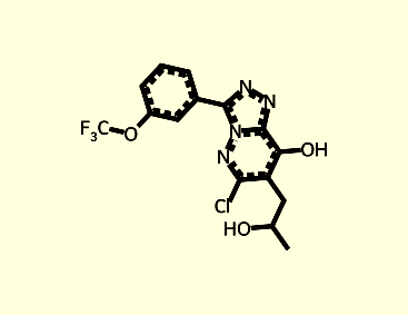 CC(O)Cc1c(Cl)nn2c(-c3cccc(OC(F)(F)F)c3)nnc2c1O